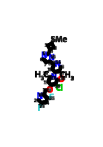 CSC1CC(c2nccc(-c3cc(-n4c(C)cc(OCc5ncc(F)cc5F)c(Cl)c4=O)c(C)cn3)n2)C1